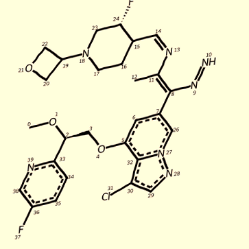 CO[C@@H](COc1cc(/C(N=N)=C(C)/N=C\C2CCN(C3COC3)C[C@@H]2F)cn2ncc(Cl)c12)c1ccc(F)cn1